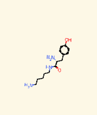 NCCCCCNC(=O)[C@H](N)Cc1ccc(O)cc1